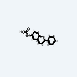 O=C(O)Nc1ccc2nc(-c3ccccc3)ccc2c1